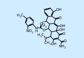 Cc1ccc(NC(=O)OC2C3C(=C(O)C4(O)C(=O)C(C(N)=O)=C(O)C(N(C)C)C24)C(=O)c2c(O)cccc2C3C)c([N+](=O)[O-])c1